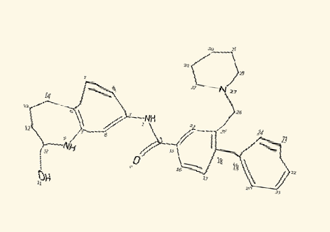 O=C(Nc1ccc2c(c1)NC(O)CCC2)c1ccc(-c2ccccc2)c(CN2CCCCC2)c1